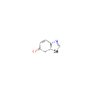 O=C1C=Cc2nc[se]c2C1